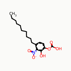 CCCCCCCCCCc1ccc(OC(=O)O)c(O)c1[N+](=O)[O-]